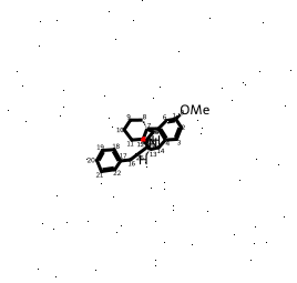 COc1ccc2c(c1)[C@]13CCCC[C@@H]1[C@H](C2)N(Cc1ccccc1)CC3